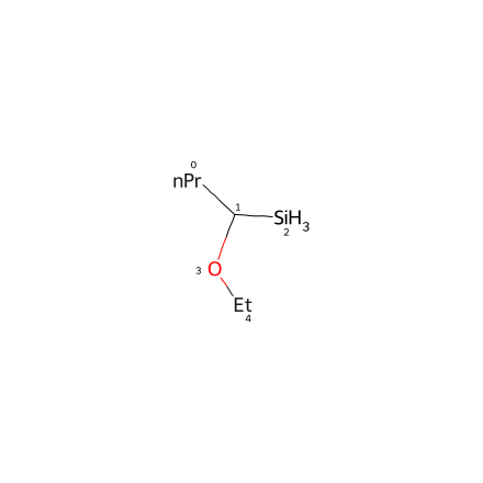 CCCC([SiH3])OCC